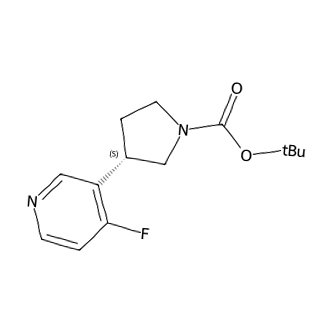 CC(C)(C)OC(=O)N1CC[C@@H](c2cnccc2F)C1